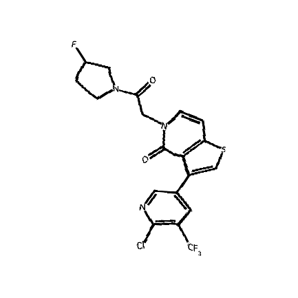 O=C(Cn1ccc2scc(-c3cnc(Cl)c(C(F)(F)F)c3)c2c1=O)N1CCC(F)C1